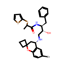 CCc1ccc2c(c1)[C@@H](NC[C@@H](O)[C@H](Cc1ccccc1)NC(=O)C(C)Sc1cccs1)CC1(CCC1)O2